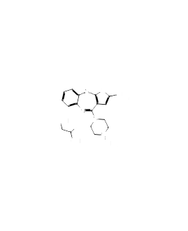 CC(C)CO.Cc1cc2c(s1)Nc1ccccc1N=C2N1CCN(C)CC1